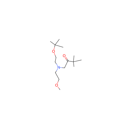 COCCN(CCOC(C)(C)C)CC(=O)C(C)(C)C